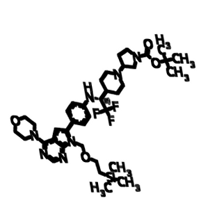 CC(C)(C)OC(=O)N1CCC(N2CCC([C@@H](Nc3ccc(-c4cc5c(N6CCOCC6)ncnc5n4COCC[Si](C)(C)C)cc3)C(F)(F)F)CC2)C1